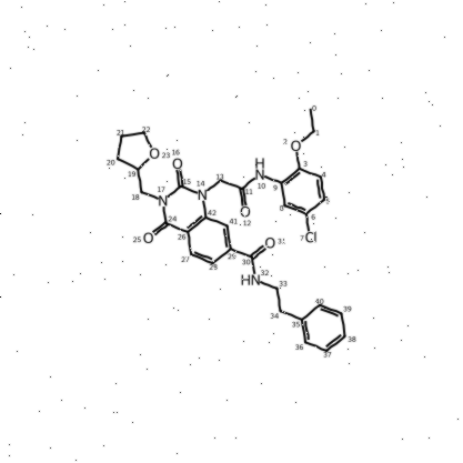 CCOc1ccc(Cl)cc1NC(=O)Cn1c(=O)n(CC2CCCO2)c(=O)c2ccc(C(=O)NCCc3ccccc3)cc21